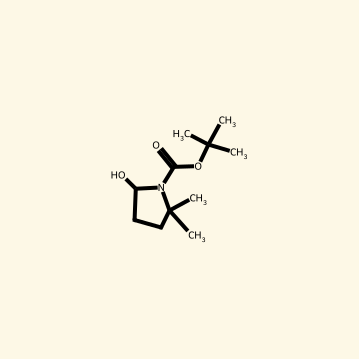 CC(C)(C)OC(=O)N1C(O)CCC1(C)C